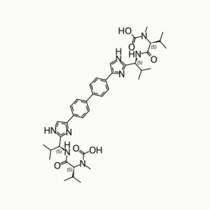 CC(C)[C@H](NC(=O)[C@H](C(C)C)N(C)C(=O)O)c1nc(-c2ccc(-c3ccc(-c4c[nH]c([C@@H](NC(=O)[C@H](C(C)C)N(C)C(=O)O)C(C)C)n4)cc3)cc2)c[nH]1